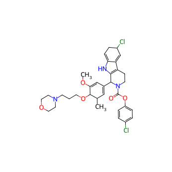 COC1=CC(C2c3[nH]c4c(c3CCN2C(=O)Oc2ccc(Cl)cc2)=CC(Cl)CC=4)=CC(C)C1OCCCN1CCOCC1